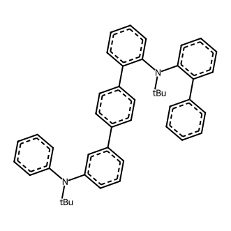 CC(C)(C)N(c1ccccc1)c1cccc(-c2ccc(-c3ccccc3N(c3ccccc3-c3ccccc3)C(C)(C)C)cc2)c1